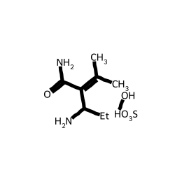 CCC(N)C(C(N)=O)=C(C)C.O=S(=O)(O)O